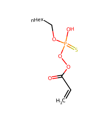 C=CC(=O)OOP(O)(=S)OCCCCCCC